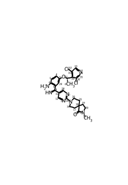 C[C@@H](Oc1ccc(N)c(C(=N)c2cnc(N3CCC4(CCN(C)C4=O)CC3)nc2)c1)c1c(Cl)cncc1Cl